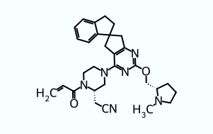 C=CC(=O)N1CCN(c2nc(OC[C@@H]3CCCN3C)nc3c2CC2(CCc4ccccc42)C3)C[C@@H]1CC#N